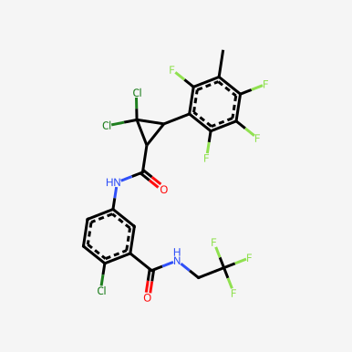 Cc1c(F)c(F)c(F)c(C2C(C(=O)Nc3ccc(Cl)c(C(=O)NCC(F)(F)F)c3)C2(Cl)Cl)c1F